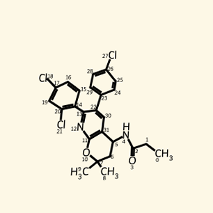 CCC(=O)NC1CC(C)(C)Oc2nc(-c3ccc(Cl)cc3Cl)c(-c3ccc(Cl)cc3)cc21